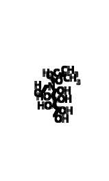 CC(C)(C)OC(=O)N(CCO)C(O)[C@H](O)[C@@H](O)[C@H](O)[C@H](O)CO